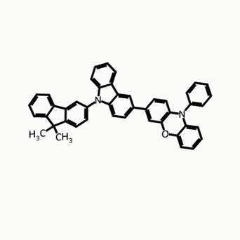 CC1(C)c2ccccc2-c2cc(-n3c4ccccc4c4cc(-c5ccc6c(c5)Oc5ccccc5N6c5ccccc5)ccc43)ccc21